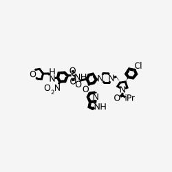 CC(C)C(=O)N1C[C@H](CN2CCN(c3ccc(C(=O)NS(=O)(=O)c4ccc(NCC5CCOCC5)c([N+](=O)[O-])c4)c(Oc4cnc5[nH]ccc5c4)c3)CC2)[C@H](c2ccc(Cl)cc2)C1